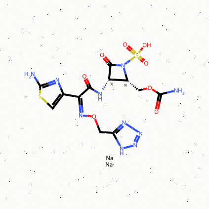 NC(=O)OC[C@@H]1[C@H](NC(=O)C(=NOCc2nnn[nH]2)c2csc(N)n2)C(=O)N1S(=O)(=O)O.[Na].[Na]